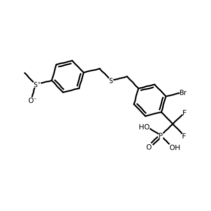 C[S+]([O-])c1ccc(CSCc2ccc(C(F)(F)P(=O)(O)O)c(Br)c2)cc1